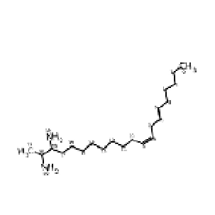 CCCCCCCC/C=C\CCCCCCCCC(N)C(C)N